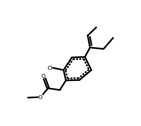 CC=C(CC)c1ccc(CC(=O)OC)c(Cl)c1